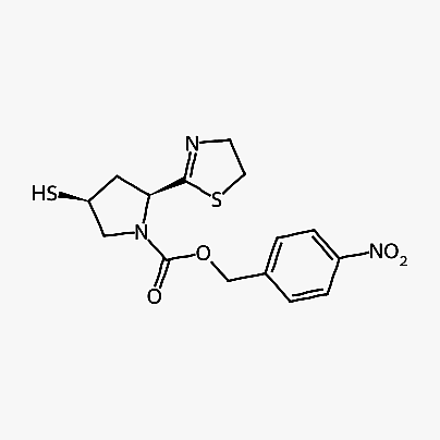 O=C(OCc1ccc([N+](=O)[O-])cc1)N1C[C@@H](S)C[C@H]1C1=NCCS1